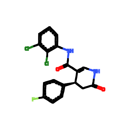 O=C1C[C@@H](c2ccc(F)cc2)C(C(=O)Nc2cccc(Cl)c2Cl)=CN1